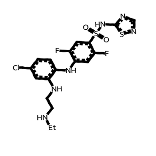 CCNCCNc1cc(Cl)ccc1Nc1cc(F)c(S(=O)(=O)Nc2ncns2)cc1F